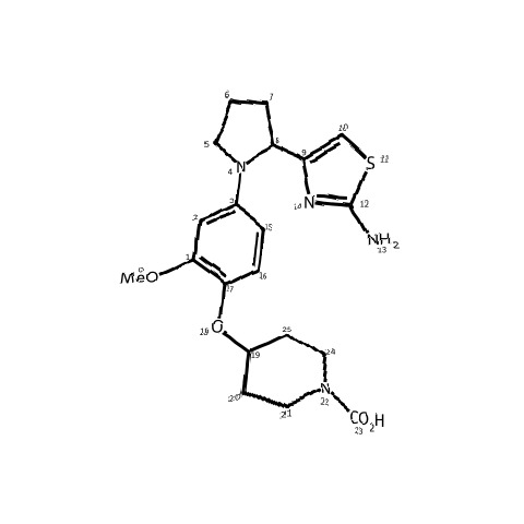 COc1cc(N2CCCC2c2csc(N)n2)ccc1OC1CCN(C(=O)O)CC1